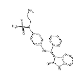 CS(=O)(=O)N(CCN)c1ccc(N/C(=C2\C(=O)Nc3ccccc32)c2ccccc2)cc1